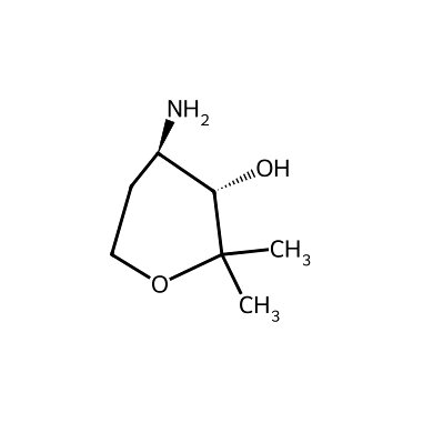 CC1(C)OCC[C@@H](N)[C@@H]1O